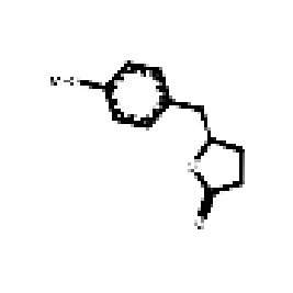 COc1ccc(C[C@H]2CCC(=O)O2)cc1